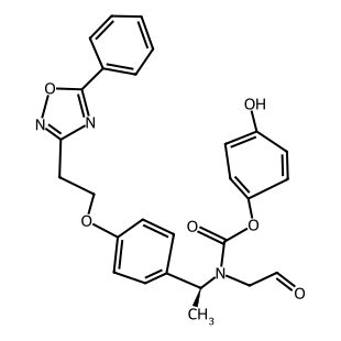 C[C@@H](c1ccc(OCCc2noc(-c3ccccc3)n2)cc1)N(CC=O)C(=O)Oc1ccc(O)cc1